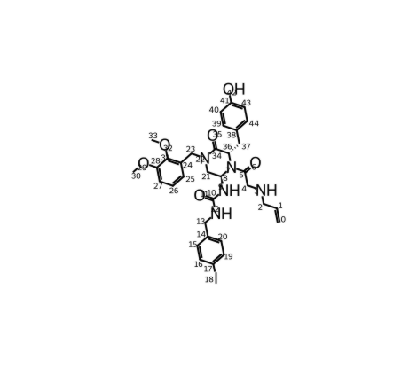 C=CCNCC(=O)N1[C@@H](NC(=O)NCc2ccc(I)cc2)CN(Cc2cccc(OC)c2OC)C(=O)[C@@H]1Cc1ccc(O)cc1